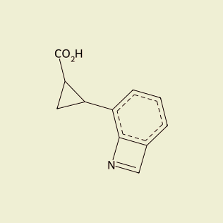 O=C(O)C1CC1c1cccc2c1N=C2